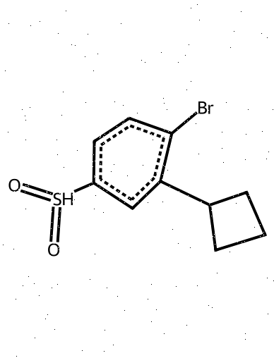 O=[SH](=O)c1ccc(Br)c(C2CCC2)c1